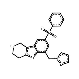 O=S(=O)(c1ccccc1)c1cc(Cn2cccn2)c2oc3c(c2c1)CNCC3